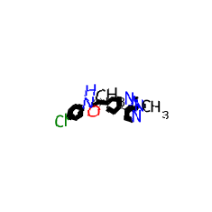 C[C@H](C(=O)Nc1ccc(Cl)cc1)[C@H]1CC[C@@H](c2ccnc3c2ncn3C)CC1